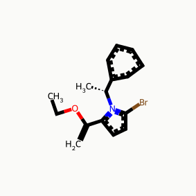 C=C(OCC)c1ccc(Br)n1[C@H](C)c1ccccc1